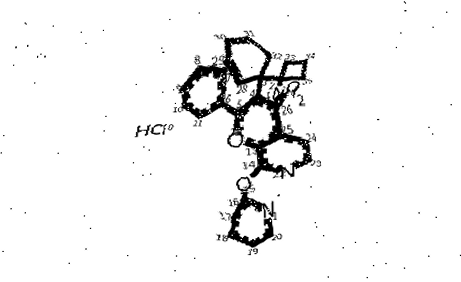 Cl.NC1(C2(c3c(-c4ccccc4)oc4c(Oc5ccccn5)nccc4c3=O)C=CC=CC2)CCC1